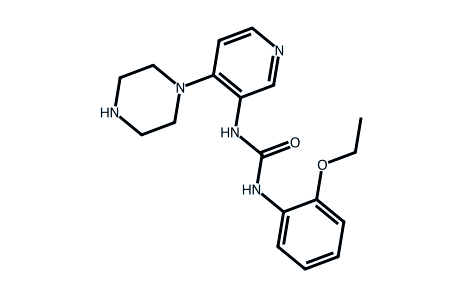 CCOc1ccccc1NC(=O)Nc1cnccc1N1CCNCC1